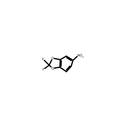 O=[N+]([O-])c1ccc2c(c1)OC(F)(F)O2